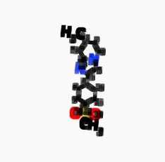 Cc1ccn2cc(-c3ccc(S(C)(=O)=O)cc3)nc2c1